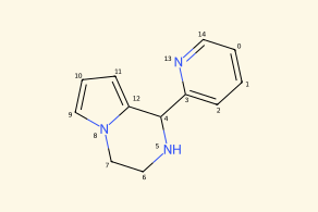 c1ccc(C2NCCn3cccc32)nc1